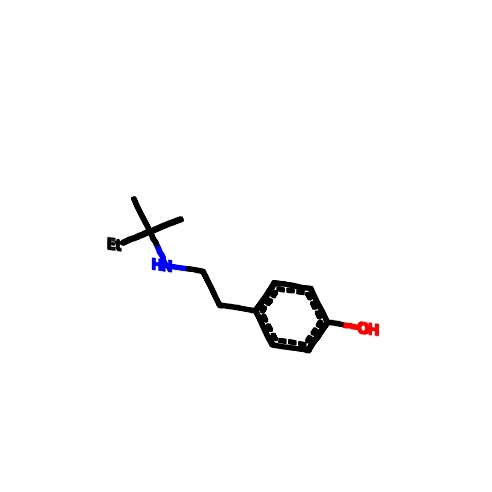 CCC(C)(C)NCCc1ccc(O)cc1